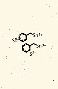 [S-2].[S-2].[S-2].[Sn+3][CH2]c1ccccc1.[Sn+3][CH2]c1ccccc1